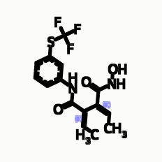 C/C=C(C(=O)NO)\C(=C/C)C(=O)Nc1cccc(SC(F)(F)F)c1